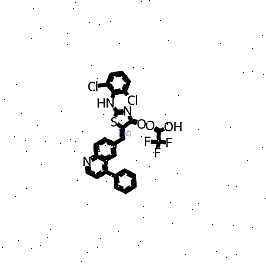 O=C(O)C(F)(F)F.O=C1N=C(Nc2c(Cl)cccc2Cl)S/C1=C\c1ccc2nccc(-c3ccccc3)c2c1